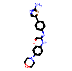 Nc1ncc(-c2ccc(/N=C(\C=O)Nc3ccc(N4CCOCC4)cc3)cc2)s1